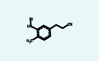 CCNc1cc(CCC#N)ccc1C